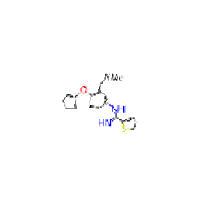 CNCc1cc(NC(=N)c2cccs2)ccc1OC1CCCC1